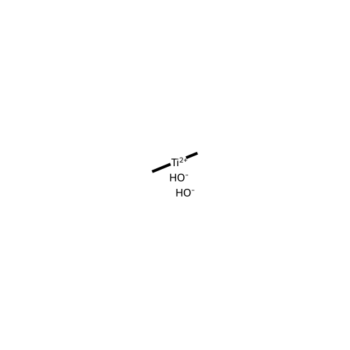 [CH3][Ti+2][CH3].[OH-].[OH-]